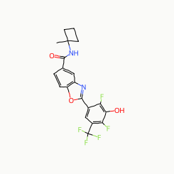 CC1(NC(=O)c2ccc3oc(-c4cc(C(F)(F)F)c(F)c(O)c4F)nc3c2)CCC1